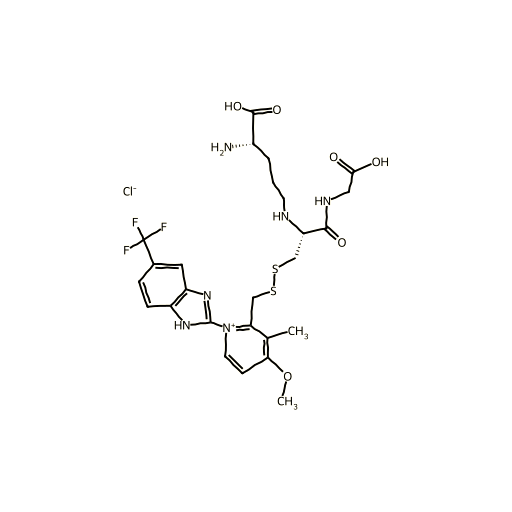 COc1cc[n+](-c2nc3cc(C(F)(F)F)ccc3[nH]2)c(CSSC[C@H](NCCC[C@H](N)C(=O)O)C(=O)NCC(=O)O)c1C.[Cl-]